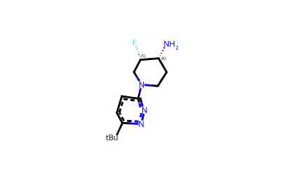 CC(C)(C)c1ccc(N2CC[C@@H](N)[C@@H](F)C2)nn1